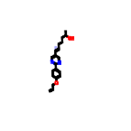 C=CCOc1ccc(-c2ncc(/C=C/CCCC(C)O)cn2)cc1